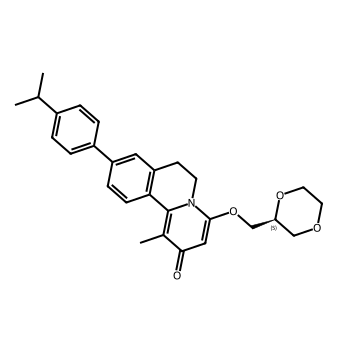 Cc1c2n(c(OC[C@@H]3COCCO3)cc1=O)CCc1cc(-c3ccc(C(C)C)cc3)ccc1-2